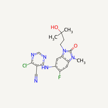 Cn1c(=O)n(CCC(C)(C)O)c2cc(Nc3ncnc(Cl)c3C#N)c(F)cc21